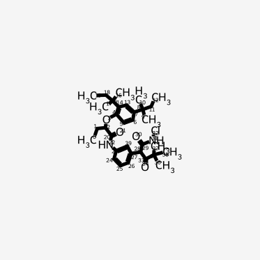 CCC(Oc1ccc(C(C)(C)CC)cc1C(C)(C)CC)C(=O)Nc1cccc(C(C(=O)NCl)C(=O)C(C)(C)C)c1